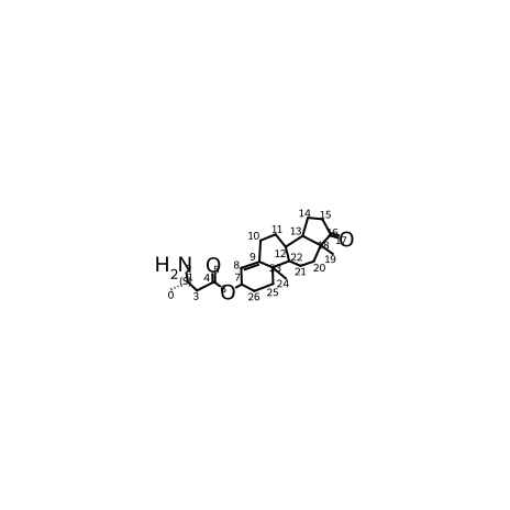 C[C@H](N)CC(=O)OC1C=C2CCC3C4CCC(=O)C4(C)CCC3C2(C)CC1